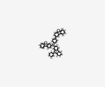 c1ccc(-n2c3ccccc3c3ccc(N(c4ccc(-c5ccc6oc7ccccc7c6c5)cc4)c4ccc5c(c4)oc4ccccc45)cc32)cc1